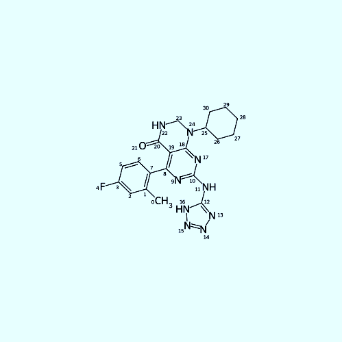 Cc1cc(F)ccc1-c1nc(Nc2nnn[nH]2)nc2c1C(=O)NCN2C1CCCCC1